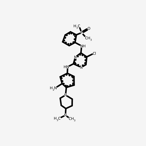 CN(C)C1CCN(c2ccc(Nc3ncc(Cl)c(Nc4ccccc4P(C)(C)=O)n3)cc2N)CC1